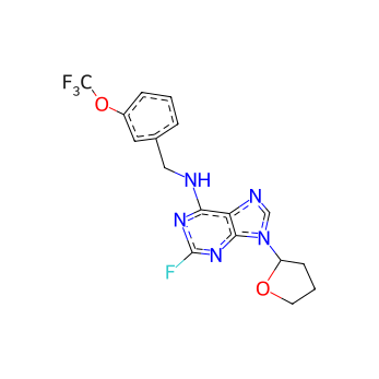 Fc1nc(NCc2cccc(OC(F)(F)F)c2)c2ncn(C3CCCO3)c2n1